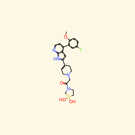 COc1ccc(F)cc1-c1ccnc2[nH]c(C3=CCN(CC(=O)N4CCS(O)(O)C4)CC3)cc12